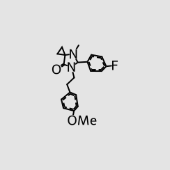 COc1ccc(CCN2C(=O)C3(CC3)N(C)C2c2ccc(F)cc2)cc1